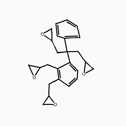 c1ccc(C(CC2CO2)(CC2CO2)c2cccc(CC3CO3)c2CC2CO2)cc1